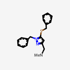 CNCc1cc(SCc2ccccc2)n(Cc2ccccc2)n1